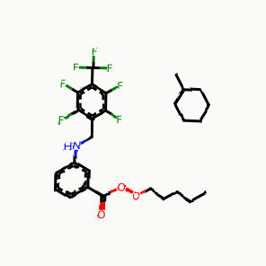 CC1CCCCC1.CCCCCOOC(=O)c1cccc(NCc2c(F)c(F)c(C(F)(F)F)c(F)c2F)c1